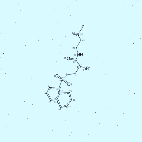 CC(C)N(CCS(=O)(=O)c1cccc2ccccc12)C(=O)NCCN(C)C